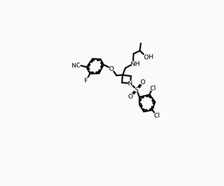 CC(O)CNCC1(COc2ccc(C#N)c(F)c2)CN(S(=O)(=O)c2ccc(Cl)cc2Cl)C1